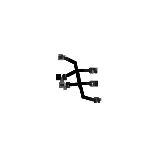 CC(C)CC(C)(C#N)C(C)(C#N)CC(C)C